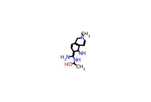 CC(O)N/C(N)=C1/C=CC2=C(C=CN(C)C2)C1=N